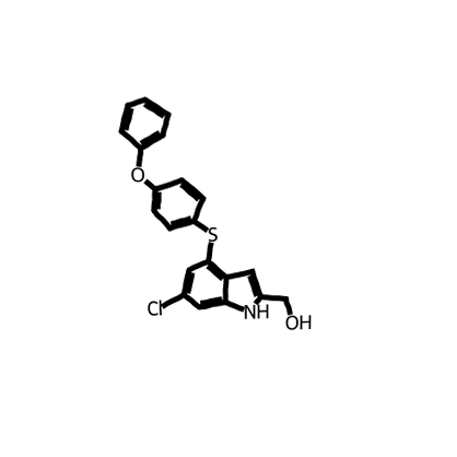 OCc1cc2c(Sc3ccc(Oc4ccccc4)cc3)cc(Cl)cc2[nH]1